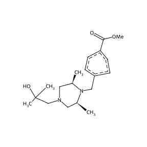 COC(=O)c1ccc(CN2[C@H](C)CN(CC(C)(C)O)C[C@@H]2C)cc1